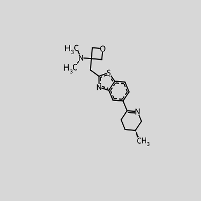 C[C@H]1CCC(c2ccc3sc(CC4(N(C)C)COC4)nc3c2)=NC1